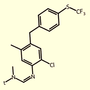 CCN(C)/C=N\c1cc(C)c(Cc2ccc(SC(F)(F)F)cc2)cc1Cl